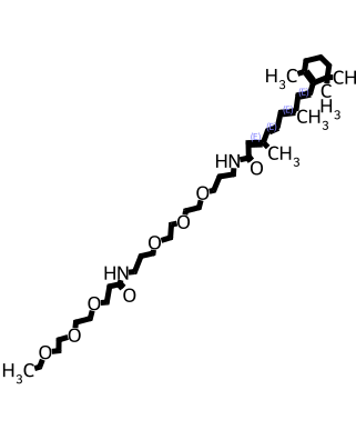 CCOCCOCCOCCC(=O)NCCCOCCOCCOCCCNC(=O)/C=C(C)/C=C/C=C(C)/C=C/C1=C(C)CCCC1(C)C